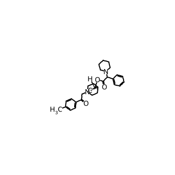 Cc1ccc(C(=O)C[N+]23CCC(CC2)[C@@H](OC(=O)C(c2ccccc2)N2CCCCC2)C3)cc1